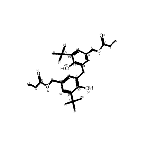 CCC(=O)OCc1cc(Cc2cc(COC(=O)CC)cc(C(C)(C)C)c2O)c(O)c(C(C)(C)C)c1